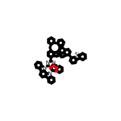 c1ccc(-c2nc(-c3ccc4c5c(cccc35)C3(Cc5ccc(-c6cccc7c6sc6ccccc67)c6cccc3c56)c3ccccc3-c3ccccc3C4)nc(-n3c4ccccc4c4ccc5c6ccccc6n(-c6ccccc6)c5c43)n2)cc1